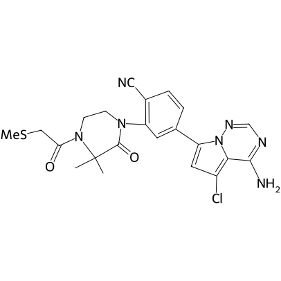 CSCC(=O)N1CCN(c2cc(-c3cc(Cl)c4c(N)ncnn34)ccc2C#N)C(=O)C1(C)C